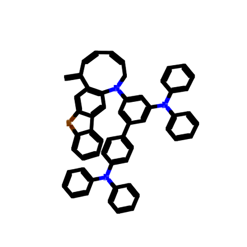 C=C1/C=C\C=C/CN(c2cc(-c3ccc(N(c4ccccc4)c4ccccc4)cc3)cc(N(c3ccccc3)c3ccccc3)c2)c2cc3c(cc21)sc1ccccc13